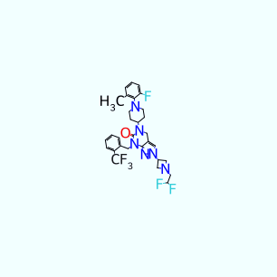 Cc1cccc(F)c1N1CCC(N2Cc3cn(C4CN(CC(F)F)C4)nc3N(Cc3ccccc3C(F)(F)F)C2=O)CC1